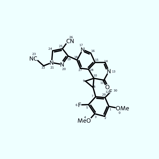 COc1cc(OC)c(F)c(C2CC23C(=O)N=Cc2cnc(-c4nn(CC#N)cc4C#N)cc23)c1F